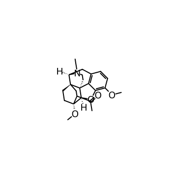 COc1ccc2c3c1O[C@@H]1[C@]34CCN(C)[C@H](C2)[C@]42CC[C@@]1(OC)C(C(C)=O)C2